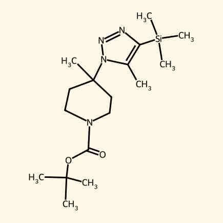 Cc1c([Si](C)(C)C)nnn1C1(C)CCN(C(=O)OC(C)(C)C)CC1